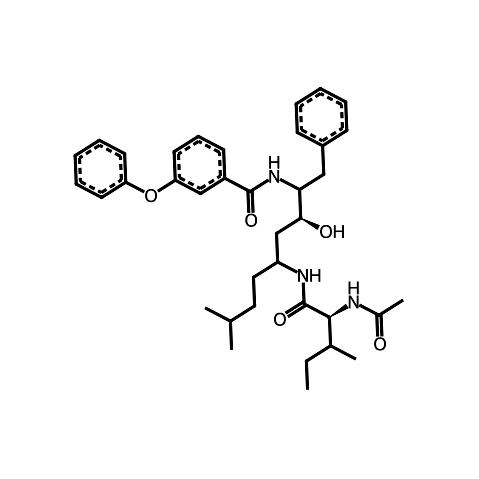 CCC(C)[C@H](NC(C)=O)C(=O)NC(CCC(C)C)C[C@H](O)C(Cc1ccccc1)NC(=O)c1cccc(Oc2ccccc2)c1